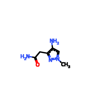 Cn1cc(N)c(CC(N)=O)n1